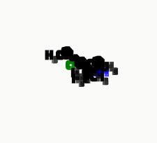 CC1=CC=CC(C)C1C(=N)/C(CCc1ccc(/C=C/c2cccc(C)c2)c(Cl)c1)=C(\C)C(C)C